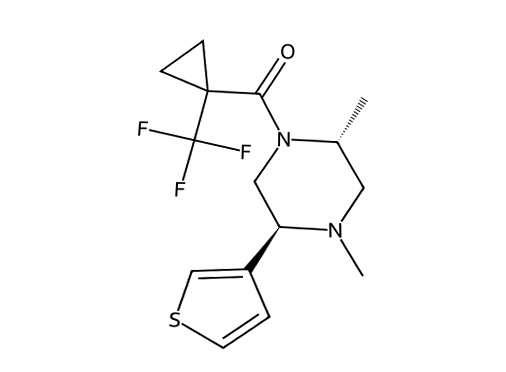 C[C@@H]1CN(C)[C@@H](c2ccsc2)CN1C(=O)C1(C(F)(F)F)CC1